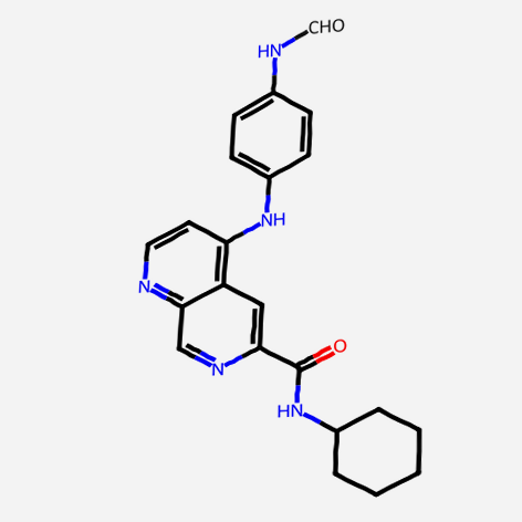 O=CNc1ccc(Nc2ccnc3cnc(C(=O)NC4CCCCC4)cc23)cc1